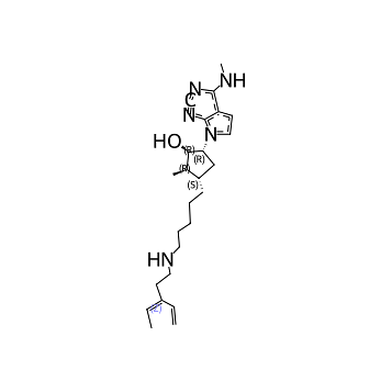 C=C/C(=C\C)CCNCCCCC[C@H]1C[C@@H](n2ccc3c(NC)ncnc32)[C@H](O)[C@@H]1C